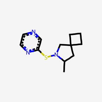 CC1CC2(CCC2)CN1Sc1cnccn1